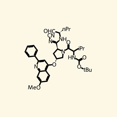 CCC[C@@H](C=O)NC(=NC#N)[C@@H]1C[C@@H](Oc2cc(-c3ccccc3)nc3cc(OC)ccc23)CN1C(=O)C(NC(=O)OC(C)(C)C)C(C)C